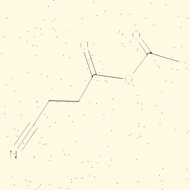 CC(=O)OC(=O)CCC#N